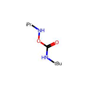 CC(C)NOC(=O)NC(C)(C)C